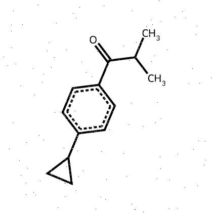 CC(C)C(=O)c1ccc(C2CC2)cc1